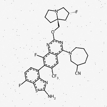 N#CC1CCCCN(c2nc(OC[C@@]34CCCN3C[C@H](F)C4)nc3c(F)c(-c4ccc(F)c5sc(N)nc45)c(C(F)(F)F)cc23)C1